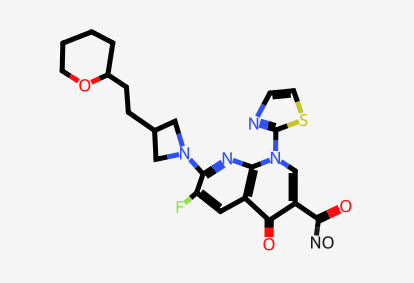 O=NC(=O)c1cn(-c2nccs2)c2nc(N3CC(CCC4CCCCO4)C3)c(F)cc2c1=O